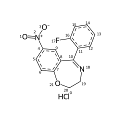 Cl.O=[N+]([O-])c1ccc2c(c1)C(c1ccccc1F)=NCCO2